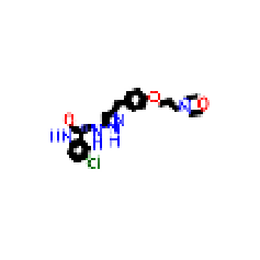 O=C1Nc2ccc(Cl)cc2/C1=C\Nc1cc(Cc2ccc(OCCCN3CCOCC3)cc2)n[nH]1